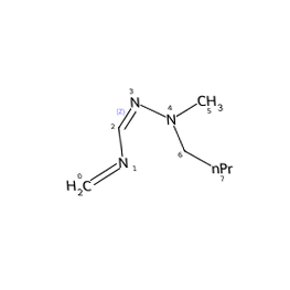 C=N/C=N\N(C)CCCC